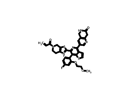 C=CC(=O)N1CCc2nc(-c3nc(-c4cnc5c(c4)CNC(=O)C5)c4ccsc4c3-c3c(F)cc(F)cc3OCCOC)sc2C1